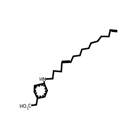 C=CCCCCCCCCC=CCCCNc1ccc(CC(=O)O)cc1